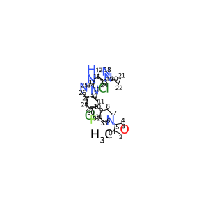 C[C@@H]1COC[C@@H]1N1CC[C@@H](c2cc3nc(Nc4cnn(C5CC5)c4Cl)ncc3cc2Cl)[C@H](F)C1